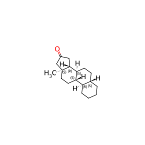 C[C@@]12CC[C@H]3[C@@H]4CCCC[C@H]4CC[C@@H]3[C@H]1CC(=O)C2